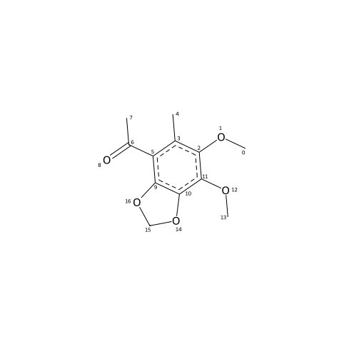 COc1c(C)c(C(C)=O)c2c(c1OC)OCO2